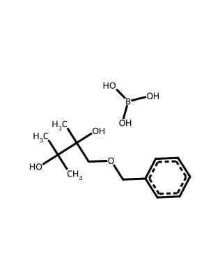 CC(C)(O)C(C)(O)COCc1ccccc1.OB(O)O